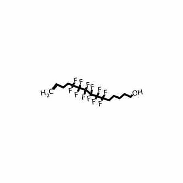 C=CCCC(F)(F)C(F)(F)C(F)(F)C(F)(F)C(F)(F)C(F)(F)CCCCCO